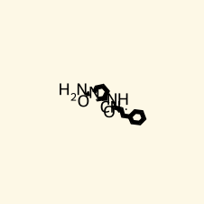 N#CC1(NC(=O)[CH]CC2CCCCC2)CCCN(C(N)=O)C1